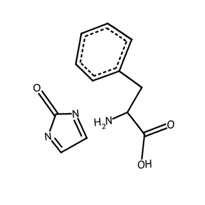 NC(Cc1ccccc1)C(=O)O.O=C1N=CC=N1